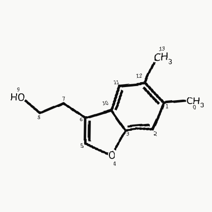 Cc1cc2occ(CCO)c2cc1C